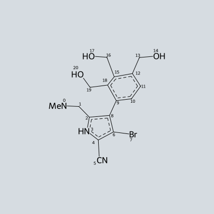 CNCc1[nH]c(C#N)c(Br)c1-c1ccc(CO)c(CO)c1CO